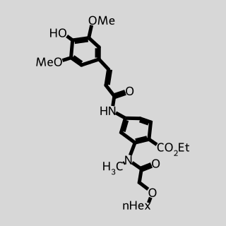 CCCCCCOCC(=O)N(C)c1cc(NC(=O)C=Cc2cc(OC)c(O)c(OC)c2)ccc1C(=O)OCC